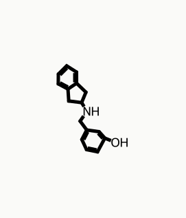 Oc1cccc(CNC2Cc3ccccc3C2)c1